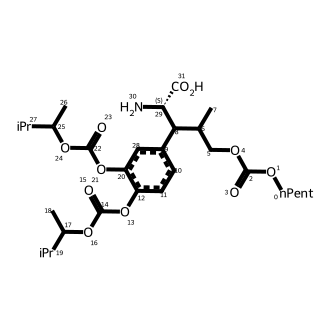 CCCCCOC(=O)OCC(C)C(c1ccc(OC(=O)OC(C)C(C)C)c(OC(=O)OC(C)C(C)C)c1)[C@H](N)C(=O)O